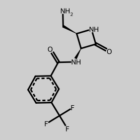 NC[C@H]1NC(=O)[C@H]1NC(=O)c1cccc(C(F)(F)F)c1